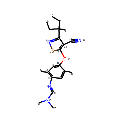 CCC(C)(CC)c1nsc(Oc2cc(C)c(N=CN(C)C)cc2C)c1C#N